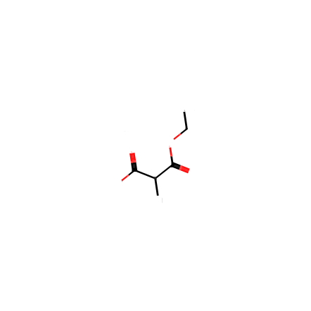 CCOC(=O)C(C)C(=O)[O-].[K+]